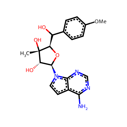 COc1ccc(C(O)[C@H]2O[C@@H](n3ccc4c(N)ncnc43)[C@H](O)[C@]2(C)O)cc1